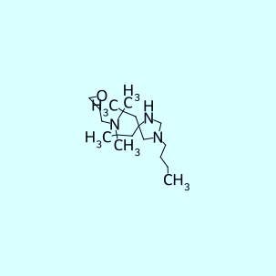 CCCCN1CNC2(C1)CC(C)(C)N(CC1CO1)C(C)(C)C2